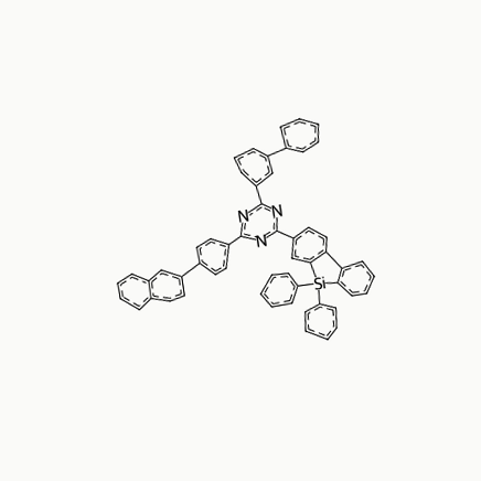 c1ccc(-c2cccc(-c3nc(-c4ccc(-c5ccc6ccccc6c5)cc4)nc(-c4ccc5c(c4)[Si](c4ccccc4)(c4ccccc4)c4ccccc4-5)n3)c2)cc1